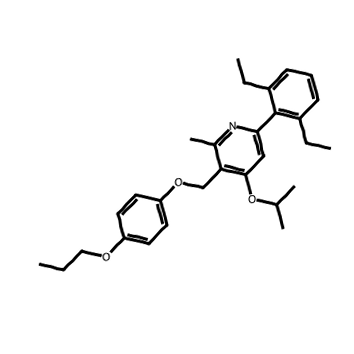 CCCOc1ccc(OCc2c(OC(C)C)cc(-c3c(CC)cccc3CC)nc2C)cc1